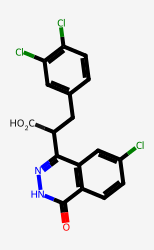 O=C(O)C(Cc1ccc(Cl)c(Cl)c1)c1n[nH]c(=O)c2ccc(Cl)cc12